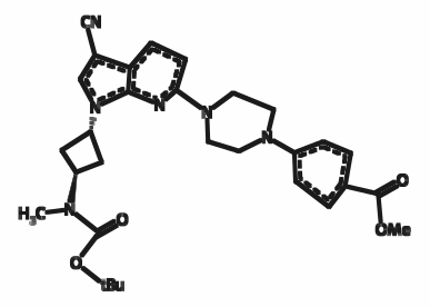 COC(=O)c1ccc(N2CCN(c3ccc4c(C#N)cn([C@H]5C[C@H](N(C)C(=O)OC(C)(C)C)C5)c4n3)CC2)cc1